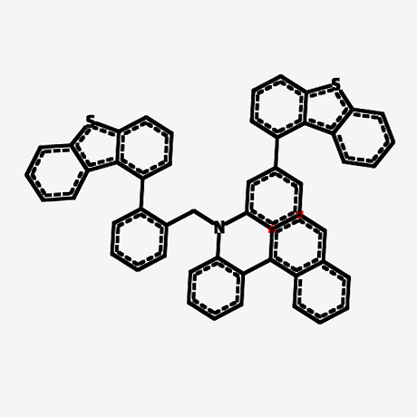 c1cc(-c2cccc3sc4ccccc4c23)cc(N(Cc2ccccc2-c2cccc3sc4ccccc4c23)c2ccccc2-c2cccc3ccccc23)c1